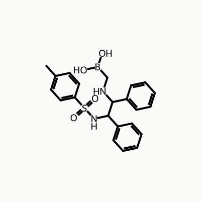 Cc1ccc(S(=O)(=O)NC(c2ccccc2)C(NCB(O)O)c2ccccc2)cc1